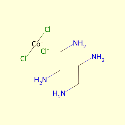 NCCN.NCCN.[Cl-].[Cl][Co+][Cl]